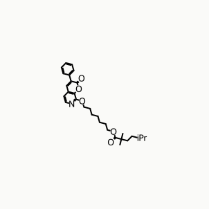 CC(C)CCC(C)(C)C(=O)OCCCCCCCOc1nccc2cc(-c3ccccc3)c(=O)oc12